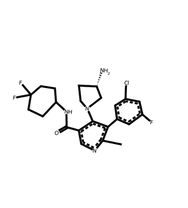 Cc1ncc(C(=O)NC2CCC(F)(F)CC2)c(N2CC[C@H](N)C2)c1-c1cc(F)cc(Cl)c1